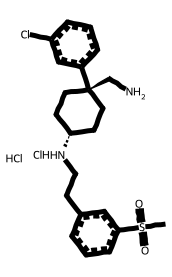 CS(=O)(=O)c1cccc(CCN[C@H]2CC[C@@](CN)(c3cccc(Cl)c3)CC2)c1.Cl.Cl